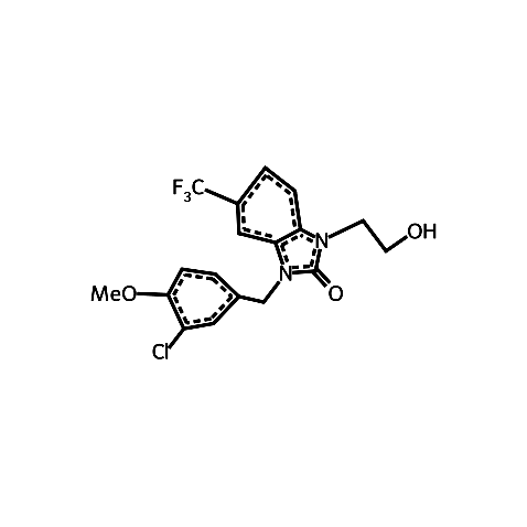 COc1ccc(Cn2c(=O)n(CCO)c3ccc(C(F)(F)F)cc32)cc1Cl